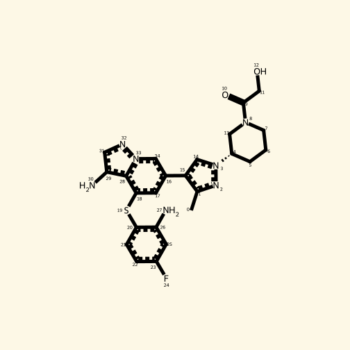 Cc1nn([C@H]2CCCN(C(=O)CO)C2)cc1-c1cc(Sc2ccc(F)cc2N)c2c(N)cnn2c1